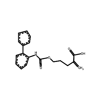 C=C(CCCOC(=O)Nc1ccccc1-c1ccccc1)C(=O)O